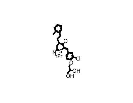 CCC/N=C1/CC(CCc2ccccc2C)C(=O)/C(=C/c2ccc(OC[C@H](O)CO)c(Cl)c2)S1